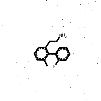 Cc1cccc(CCN)c1-c1ccccc1F